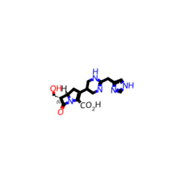 O=C(O)C1=C(C2CN=C(Cc3c[nH]cn3)NC2)C[C@@H]2[C@@H](CO)C(=O)N12